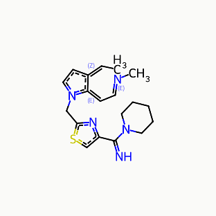 C/C=c1/ccn(Cc2nc(C(=N)N3CCCCC3)cs2)/c1=C/C=N/C